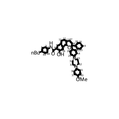 CCCCc1ccc(NC(=O)c2cc3ccc4c(c3cc2O)OC(c2ccccc2)(c2ccc(N3CCN(c5ccc(OC)cc5)CC3)cc2)C=C4)cc1